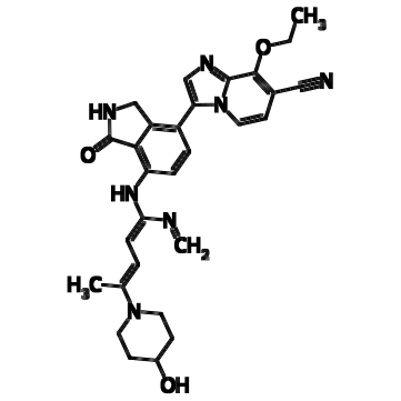 C=N/C(=C\C=C(/C)N1CCC(O)CC1)Nc1ccc(-c2cnc3c(OCC)c(C#N)ccn23)c2c1C(=O)NC2